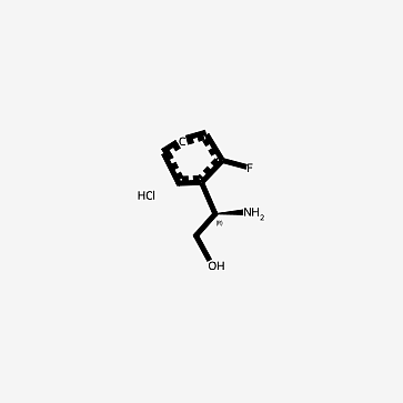 Cl.N[C@@H](CO)c1ccccc1F